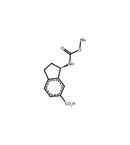 CC(C)(C)OC(=O)N[C@@H]1CCc2ccc(C(=O)O)cc21